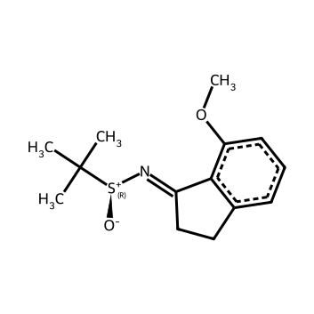 COc1cccc2c1C(=N[S@@+]([O-])C(C)(C)C)CC2